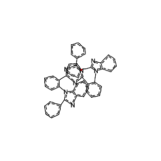 c1ccc(-c2nc(-c3ccccc3-n3c(-c4ccccc4)nc4ccccc43)nc(-c3ccccc3-n3c(-c4ccccc4)nc4ccccc43)n2)cc1